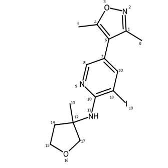 Cc1noc(C)c1-c1cnc(NC2(C)CCOC2)c(I)c1